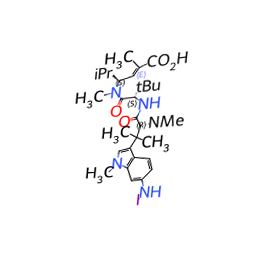 CN[C@@H](C(=O)N[C@H](C(=O)N(C)[C@H](/C=C(\C)C(=O)O)C(C)C)C(C)(C)C)C(C)(C)c1cn(C)c2cc(NI)ccc12